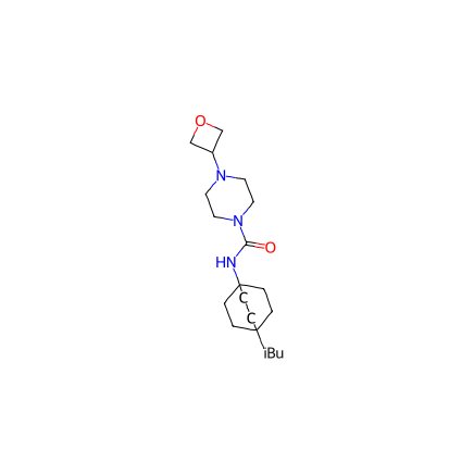 CCC(C)C12CCC(NC(=O)N3CCN(C4COC4)CC3)(CC1)CC2